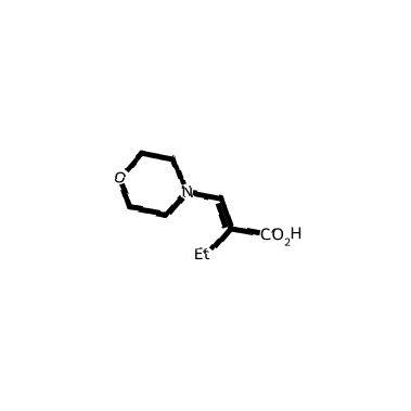 CC/C(=C\N1CCOCC1)C(=O)O